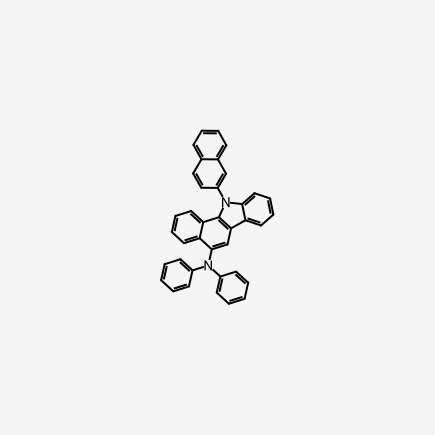 c1ccc(N(c2ccccc2)c2cc3c4ccccc4n(-c4ccc5ccccc5c4)c3c3ccccc23)cc1